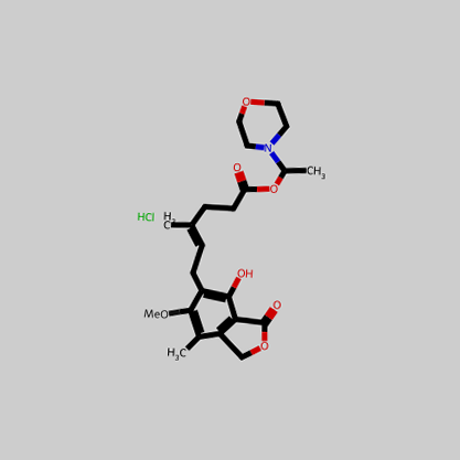 COc1c(C)c2c(c(O)c1C/C=C(\C)CCC(=O)OC(C)N1CCOCC1)C(=O)OC2.Cl